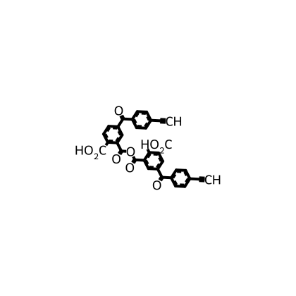 C#Cc1ccc(C(=O)c2ccc(C(=O)O)c(C(=O)OC(=O)c3cc(C(=O)c4ccc(C#C)cc4)ccc3C(=O)O)c2)cc1